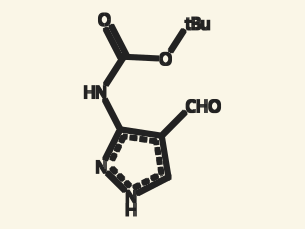 CC(C)(C)OC(=O)Nc1n[nH]cc1C=O